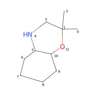 CC1(C)CNC2CCCCC2O1